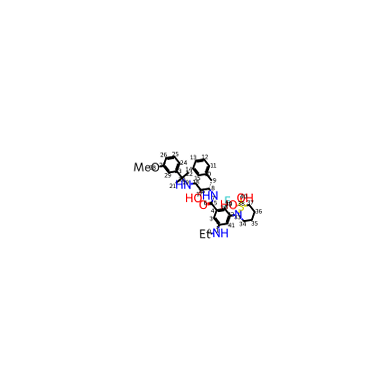 CCNc1cc(C(=O)N[C@@H](Cc2ccccc2)[C@@H](O)CNC(C)(C)c2cccc(OC)c2)c(F)c(N2CCCCS2(O)O)c1